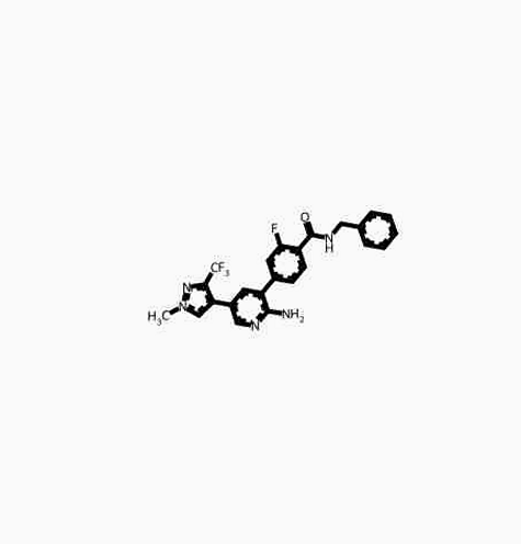 Cn1cc(-c2cnc(N)c(-c3ccc(C(=O)NCc4ccccc4)c(F)c3)c2)c(C(F)(F)F)n1